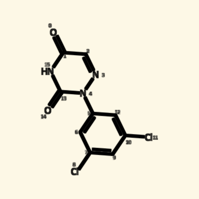 O=c1cnn(-c2cc(Cl)cc(Cl)c2)c(=O)[nH]1